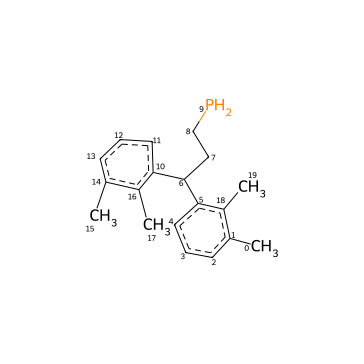 Cc1cccc(C(CCP)c2cccc(C)c2C)c1C